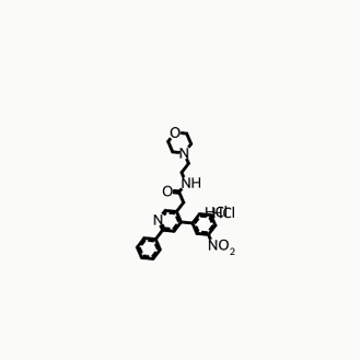 Cl.Cl.O=C(Cc1cnc(-c2ccccc2)cc1-c1cccc([N+](=O)[O-])c1)NCCN1CCOCC1